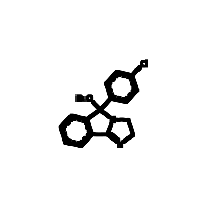 CC(C)COC1(c2ccc(Cl)cc2)c2ccccc2C2=NCCN21